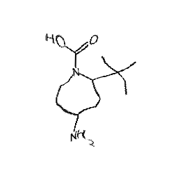 CC(C)(C)C1CC(N)CCN1C(=O)O